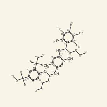 CCCCC(Nc1cc(O)c(NC(CCCC)c2c(F)c(F)c(F)c(F)c2F)cc1Cl)Oc1ccc(C(C)(C)CC)cc1C(C)(C)CC